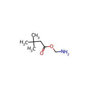 CC(C)(C)CC(=O)OCN